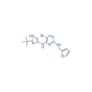 CC(C)(C)c1cc(Nc2nc(NCc3ccco3)ncc2Br)n[nH]1